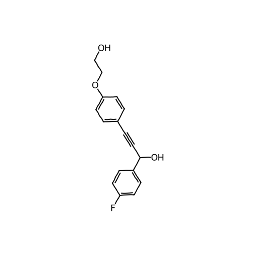 OCCOc1ccc(C#CC(O)c2ccc(F)cc2)cc1